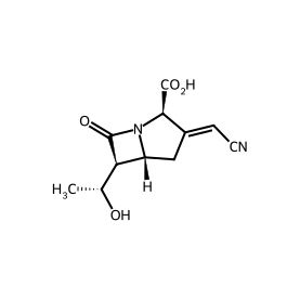 C[C@@H](O)[C@H]1C(=O)N2[C@@H](C(=O)O)C(=CC#N)C[C@H]12